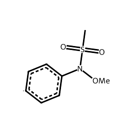 CON(c1cc[c]cc1)S(C)(=O)=O